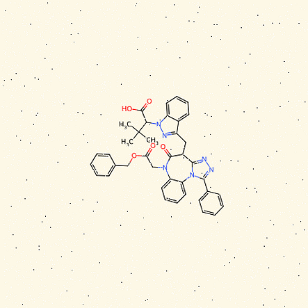 CC(C)(C)C(C(=O)O)n1nc(CC2C(=O)N(CC(=O)OCc3ccccc3)c3ccccc3-n3c(-c4ccccc4)nnc32)c2ccccc21